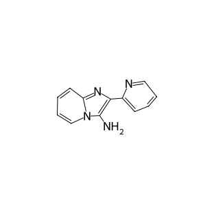 Nc1c(-c2ccccn2)nc2ccccn12